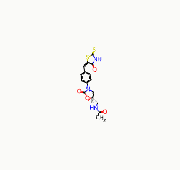 CC(=O)NC[C@H]1CN(c2ccc(C=C3SC(=S)NC3=O)cc2)C(=O)O1